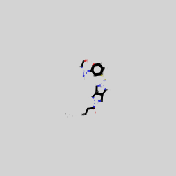 COCCC(=O)N1CC2=C(CN(Sc3ccc4c(c3)N(C)CCO4)C2)C1